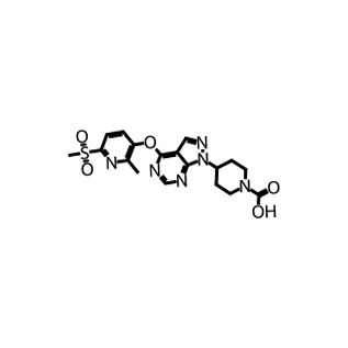 Cc1nc(S(C)(=O)=O)ccc1Oc1ncnc2c1cnn2C1CCN(C(=O)O)CC1